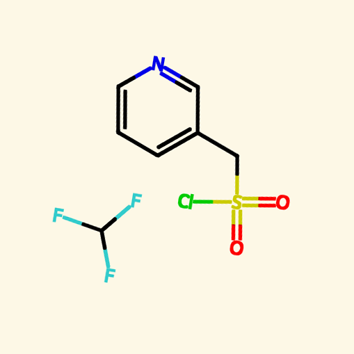 FC(F)F.O=S(=O)(Cl)Cc1cccnc1